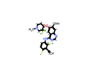 C#Cc1c(F)ccc(Nc2ncnc3cc(OC)c(O[C@@H]4CCN(C)CC4(F)F)cc23)c1F